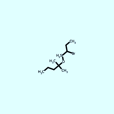 CCCC(C)(C)O[SiH2]C(Br)CC